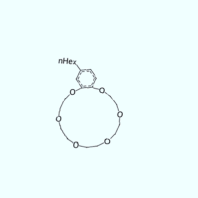 CCCCCCc1ccc2c(c1)OCCOCCOCCOCCOCCO2